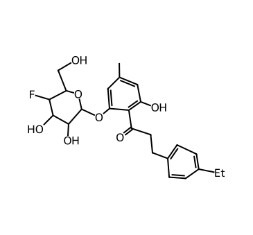 CCc1ccc(CCC(=O)c2c(O)cc(C)cc2OC2OC(CO)C(F)C(O)C2O)cc1